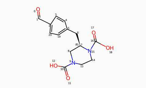 O=Cc1ccc(C[C@@H]2CN(C(=O)O)CCN2C(=O)O)cc1